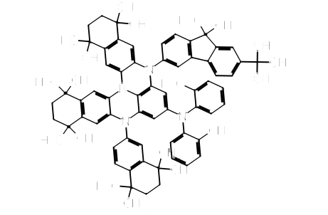 Cc1ccccc1N(c1cc2c3c(c1)N(c1ccc4c(c1)C(C)(C)CCC4(C)C)c1cc4c(cc1B3c1cc3c(cc1N2c1ccc2c(c1)-c1ccc(C(C)(C)C)cc1C2(C)C)C(C)(C)CCC3(C)C)C(C)(C)CCC4(C)C)c1ccccc1C